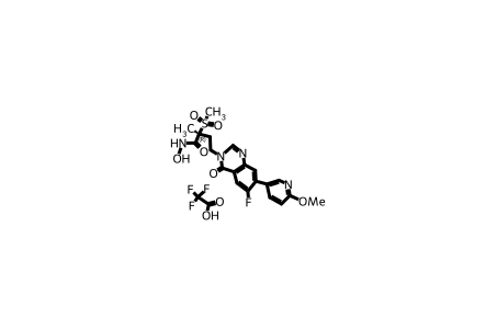 COc1ccc(-c2cc3ncn(CC[C@](C)(C(=O)NO)S(C)(=O)=O)c(=O)c3cc2F)cn1.O=C(O)C(F)(F)F